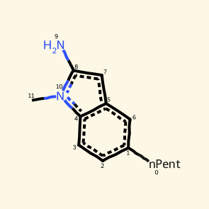 CCCCCc1ccc2c(c1)cc(N)n2C